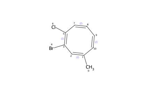 CC1=C/C(Br)=C(Cl)\C=C/C=C\1